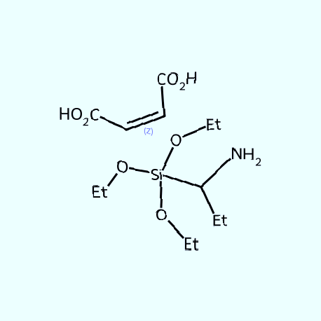 CCO[Si](OCC)(OCC)C(N)CC.O=C(O)/C=C\C(=O)O